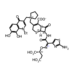 CCn1cc(C[N+]2(CC3=C(C(=O)[O-])N4C(=O)[C@@H](NC(=O)/C(=N\O[C@@H](CC(=O)O)C(=O)O)c5csc(N)n5)[C@H]4SC3)CCCC2)c(=O)c2ccc(O)c(O)c21